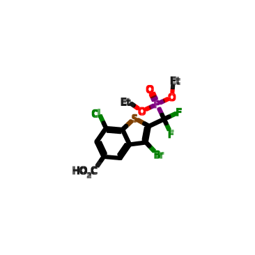 CCOP(=O)(OCC)C(F)(F)c1sc2c(Cl)cc(C(=O)O)cc2c1Br